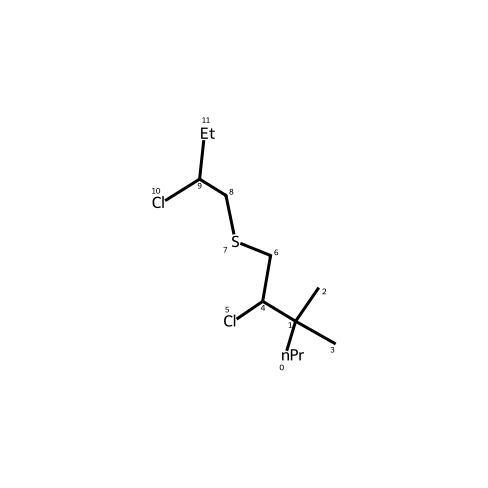 CCCC(C)(C)C(Cl)CSCC(Cl)CC